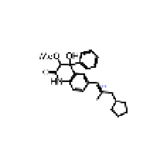 COC1C(=O)Nc2ccc(/C=C(\C)CC3CCCC3)cc2C1(O)c1ccccc1